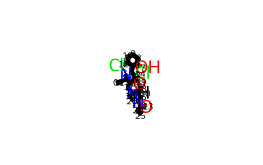 C#Cc1nc(-c2c(O)cccc2Cl)c(Cl)c2c1CN1CCN(C(=O)C=C)C[C@@H]1CO2